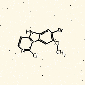 COc1cc2c(cc1Br)[nH]c1ccnc(Cl)c12